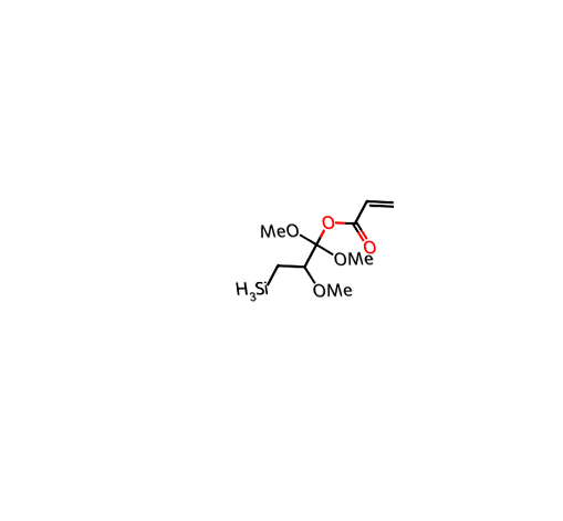 C=CC(=O)OC(OC)(OC)C(C[SiH3])OC